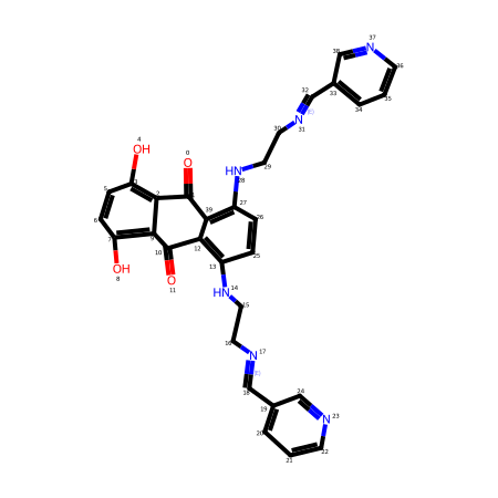 O=C1c2c(O)ccc(O)c2C(=O)c2c(NCC/N=C/c3cccnc3)ccc(NCC/N=C/c3cccnc3)c21